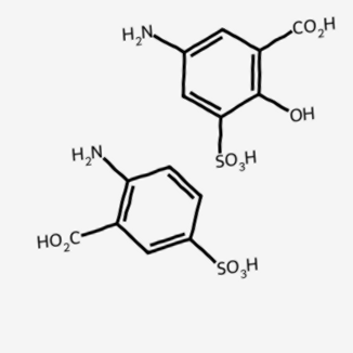 Nc1cc(C(=O)O)c(O)c(S(=O)(=O)O)c1.Nc1ccc(S(=O)(=O)O)cc1C(=O)O